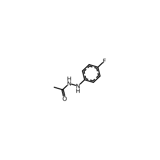 CC(=O)NNc1ccc(F)cc1